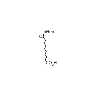 CCCCCCCC1OC1CCCCCCCCC(=O)O